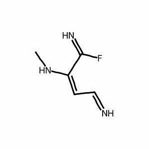 CN/C(=C/C=N)C(=N)F